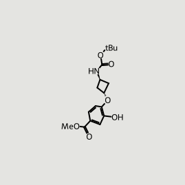 COC(=O)c1ccc(O[C@H]2C[C@H](NC(=O)OC(C)(C)C)C2)c(O)c1